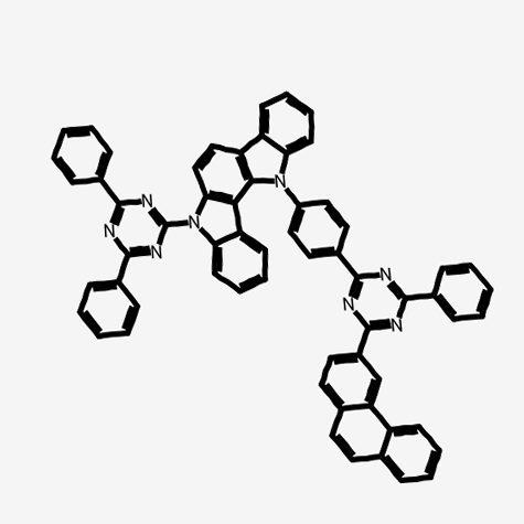 c1ccc(-c2nc(-c3ccc(-n4c5ccccc5c5ccc6c(c7ccccc7n6-c6nc(-c7ccccc7)nc(-c7ccccc7)n6)c54)cc3)nc(-c3ccc4ccc5ccccc5c4c3)n2)cc1